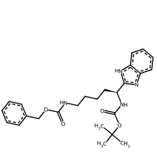 CC(C)(C)OC(=O)N[C@@H](CCCCNC(=O)OCc1ccccc1)c1nc2ccccc2[nH]1